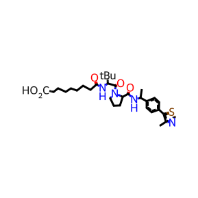 Cc1ncsc1-c1ccc(C(C)NC(=O)C2CCCN2C(=O)C(NC(=O)CCCCCCCC(=O)O)C(C)(C)C)cc1